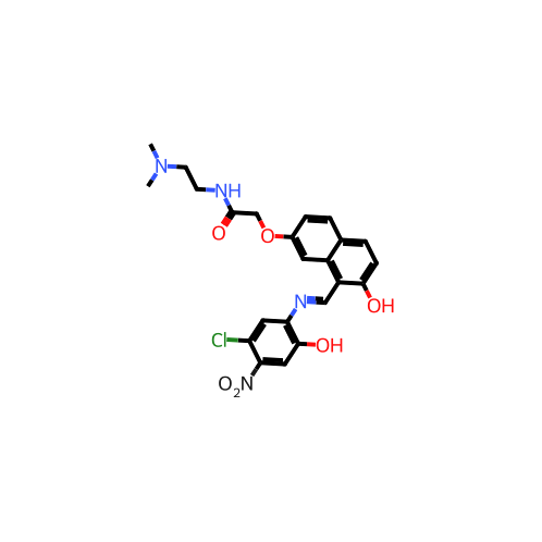 CN(C)CCNC(=O)COc1ccc2ccc(O)c(C=Nc3cc(Cl)c([N+](=O)[O-])cc3O)c2c1